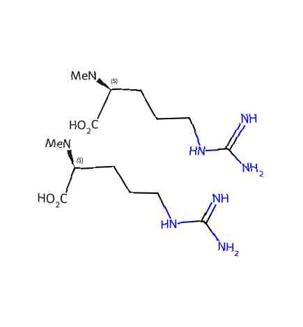 CN[C@@H](CCCNC(=N)N)C(=O)O.CN[C@@H](CCCNC(=N)N)C(=O)O